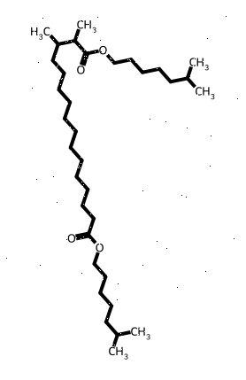 CC(C)CCCCCOC(=O)CCCCCCCCCCCCC(C)C(C)C(=O)OCCCCCC(C)C